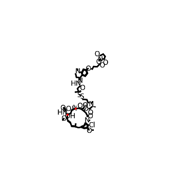 COc1cc2cc(c1Cl)N(C)C(=O)C[C@H](OC(=O)[C@H](C)N(C)C(=O)CCSSC(C)(C)CC(=O)N/N=C1\CCN(C)c3cc(OCCCC(=O)ON4C(=O)CCC4=O)ccc31)C(C)(O)C[C@H](C)[C@@H]1C[C@@](O)(NC(=O)O1)[C@H](OC)/C=C/C=C(\C)C2